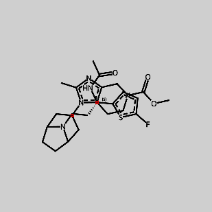 COC(=O)N1CCc2c(nc(C)n2C2CC3CCC(C2)N3CC[C@H](NC(C)=O)c2ccc(F)s2)C1